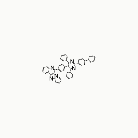 c1ccc(-c2ccc(-c3nc(-c4ccccc4)c(-c4ccc(-c5nc6ccccc6c6nc7ccccn7c56)cc4)c(-c4ccccc4)n3)cc2)cc1